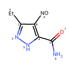 CCc1n[nH]c(C(N)=O)c1N=O